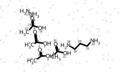 CC(=O)O.CC(=O)O.CC(=O)O.CC(=O)O.N.N.NCCCN